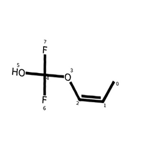 C/C=C\OC(O)(F)F